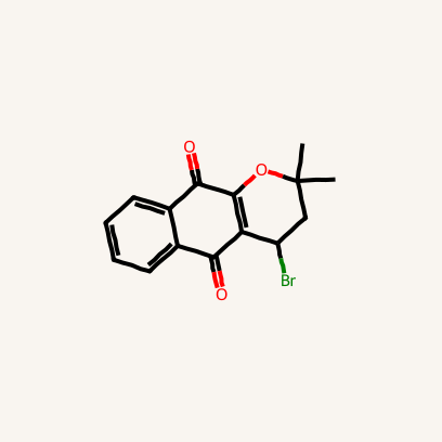 CC1(C)CC(Br)C2=C(O1)C(=O)c1ccccc1C2=O